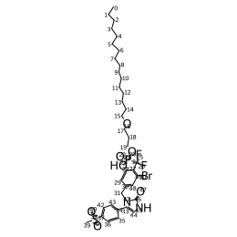 CCCCCCCCCCCCCCCCOCCCOP(=O)(O)C(F)(F)c1ccc(Cn2c(-c3ccc(S(C)(=O)=O)cc3)c[nH]c2=O)cc1Br